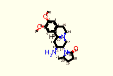 COc1cc2c(cc1OC)[C@@H]1CC(N)[C@@H](N3C(=O)CCC3C)CN1CC2